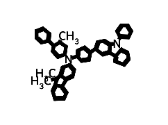 CC1CC(N(c2ccc(-c3ccc4c(c3)c3ccccc3n4-c3ccccc3)cc2)c2ccc3c(c2)C(C)(C)c2ccccc2-3)C=CC1c1ccccc1